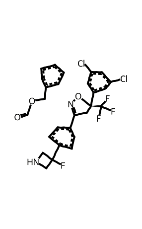 FC1(c2ccc(C3=NO[C@@](c4cc(Cl)cc(Cl)c4)(C(F)(F)F)C3)cc2)CNC1.O=COCc1ccccc1